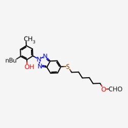 CCCCc1cc(C)cc(-n2nc3ccc(SCCCCCCOC=O)cc3n2)c1O